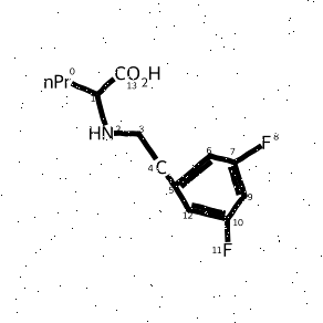 CCCC(NCCc1cc(F)cc(F)c1)C(=O)O